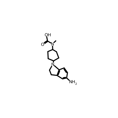 CN(C(=O)O)C1CCC(N2CCc3cc(N)ccc32)CC1